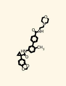 Cc1ccc(NC(=O)C2(c3ccc4c(c3)OCO4)CC2)cc1-c1ccc(C(=O)NCCN2CCOCC2)cc1